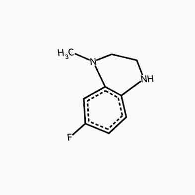 CN1CCNc2ccc(F)cc21